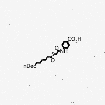 CCCCCCCCCCCCCCCC(=O)SCC(=O)Nc1ccc(C(=O)O)cc1